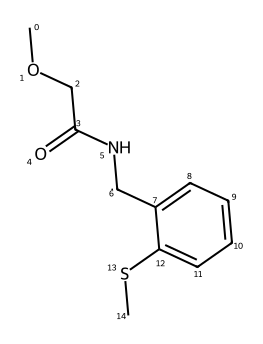 COCC(=O)N[CH]c1ccccc1SC